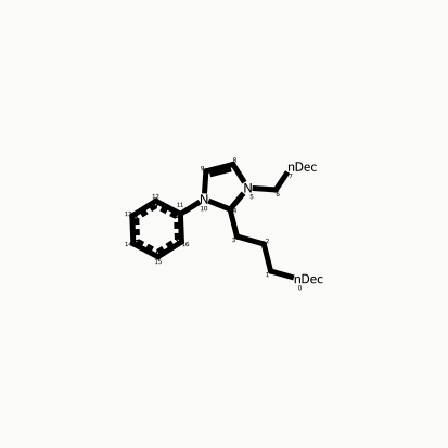 CCCCCCCCCCCCCC1N(CCCCCCCCCCC)C=CN1c1ccccc1